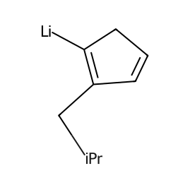 [Li][C]1=C(CC(C)C)C=CC1